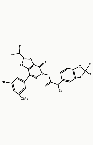 CCN(C(=O)Cn1nc(-c2cc(C#N)cc(OC)c2)c2oc(C(F)F)cc2c1=O)c1ccc2c(c1)OC(F)(F)O2